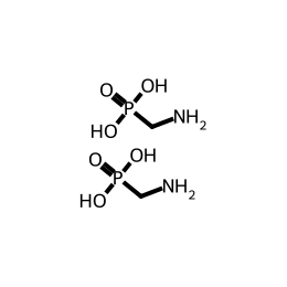 NCP(=O)(O)O.NCP(=O)(O)O